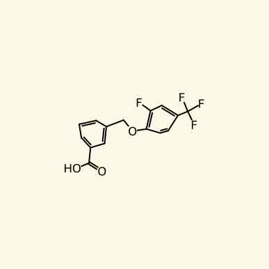 O=C(O)c1cccc(COc2ccc(C(F)(F)F)cc2F)c1